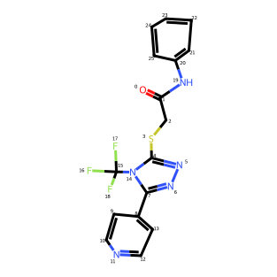 O=C(CSc1nnc(-c2ccncc2)n1C(F)(F)F)Nc1ccccc1